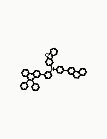 c1ccc(-c2c(-c3ccccc3)c3cc(-c4cccc(N(c5ccc(-c6ccc7c(ccc8ccccc87)c6)cc5)c5ccc6oc7ccccc7c6c5)c4)ccc3c3ccccc23)cc1